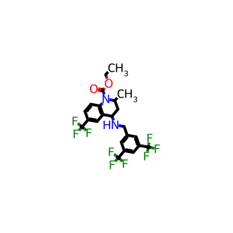 CCOC(=O)N1c2ccc(C(F)(F)F)cc2C(NCc2cc(C(F)(F)F)cc(C(F)(F)F)c2)CC1C